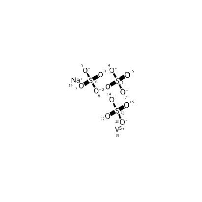 O=S(=O)([O-])[O-].O=S(=O)([O-])[O-].O=S(=O)([O-])[O-].[Na+].[V+5]